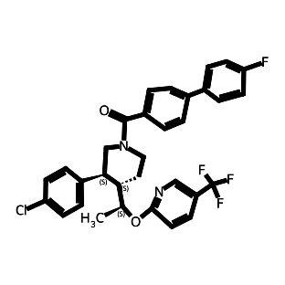 C[C@H](Oc1ccc(C(F)(F)F)cn1)[C@H]1CCN(C(=O)c2ccc(-c3ccc(F)cc3)cc2)C[C@@H]1c1ccc(Cl)cc1